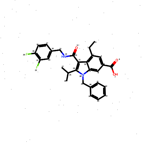 CCc1cc(C(=O)O)cc2c1c(C(=O)NCc1ccc(F)c(F)c1)c(C(C)C)n2Cc1ccccc1